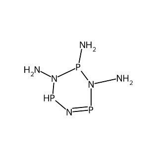 Nn1pn[pH]n(N)p1N